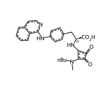 CCCCN(C)c1c(N[C@@H](Cc2ccc(Nc3nccc4ccccc34)cc2)C(=O)O)c(=O)c1=O